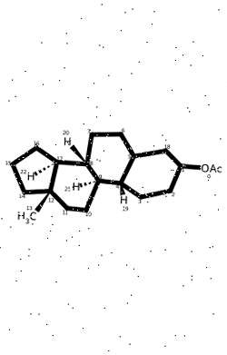 CC(=O)OC1CC[C@H]2C(CC[C@@H]3[C@@H]2CC[C@]2(C)CCC[C@@H]32)C1